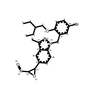 CCC(CC)COc1ccc(Br)cc1Cn1nc(C)c2cc(C3OC3N=O)ccc21